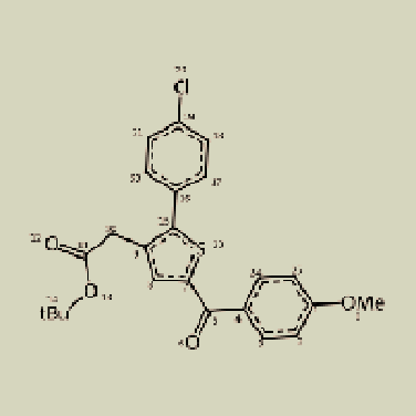 COc1ccc(C(=O)c2cc(CC(=O)OC(C)(C)C)c(-c3ccc(Cl)cc3)s2)cc1